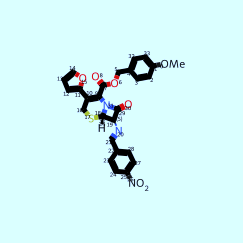 COc1ccc(COC(=O)C2=C(c3ccco3)CS[C@H]3[C@@H](N=Cc4ccc([N+](=O)[O-])cc4)C(=O)N23)cc1